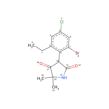 CCc1cc(Cl)cc(Br)c1C1C(=O)NC(C)(C)C1=O